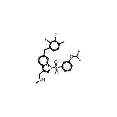 CNCc1cn(S(=O)(=O)c2cccc(OC(F)F)c2)c2cc(Cc3ccc(C)c(F)c3F)ccc12